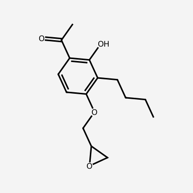 CCCCc1c(OCC2CO2)ccc(C(C)=O)c1O